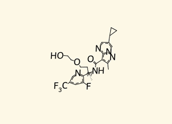 Cc1nn2cc(C3CC3)cnc2c1C(=O)N[C@](C)(CCOCCO)c1ncc(C(F)(F)F)cc1F